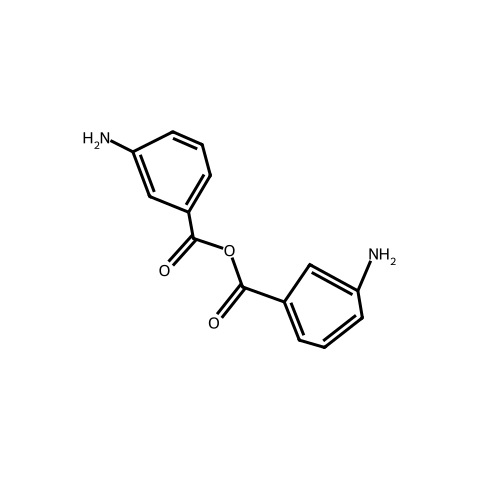 Nc1cccc(C(=O)OC(=O)c2cccc(N)c2)c1